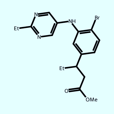 CCc1ncc(Nc2cc(C(CC)CC(=O)OC)ccc2Br)cn1